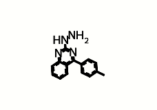 Cc1ccc(-c2nc(NN)nc3ccccc23)cc1